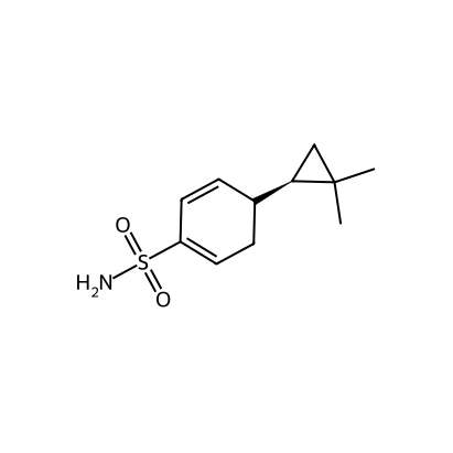 CC1(C)C[C@@H]1C1C=CC(S(N)(=O)=O)=CC1